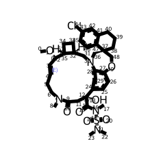 CO[C@H]1/C=C/CCN(C)C(=O)C[C@](O)(C(=O)N(C)S(=O)(=O)N(C)C)c2ccc3c(c2)N(C[C@@H]2CC[C@H]21)C[C@@]1(CCCc2cc(Cl)ccc21)CO3